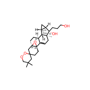 CC1(C)COOC2(CC[C@]34O[C@]3(CC[C@@H]3C4=CC[C@@]4(C)[C@H]3[C@@H]3C[C@@H]3[C@@]4(O)CCCO)C2)C1